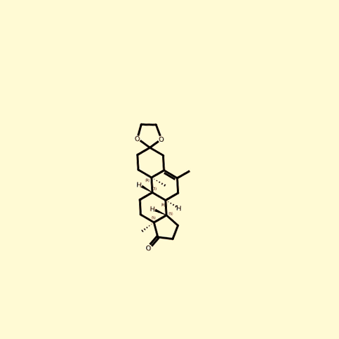 CC1=C2CC3(CC[C@]2(C)[C@H]2CC[C@]4(C)C(=O)CC[C@H]4[C@@H]2C1)OCCO3